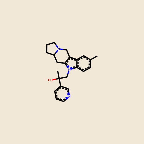 Cc1ccc2c(c1)c1c(n2CC(C)(O)c2cccnc2)CC2CCCN2C1